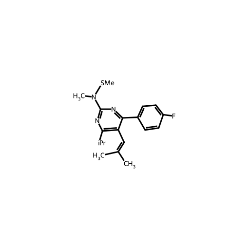 CSN(C)c1nc(-c2ccc(F)cc2)c(C=C(C)C)c(C(C)C)n1